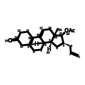 C=CC[C@@H]1C[C@H]2[C@@H]3CCC4=C(CCC(=O)C4)C3=CC[C@]2(C)[C@H]1OC(C)=O